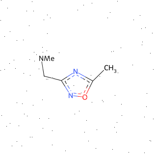 CNCc1noc(C)n1